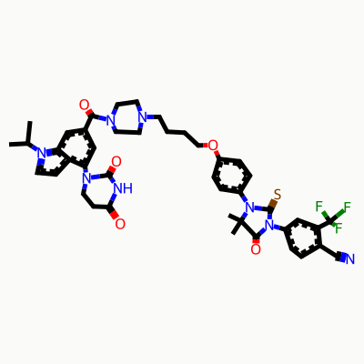 CC(C)n1ccc2c(N3CCC(=O)NC3=O)cc(C(=O)N3CCN(CCCCOc4ccc(N5C(=S)N(c6ccc(C#N)c(C(F)(F)F)c6)C(=O)C5(C)C)cc4)CC3)cc21